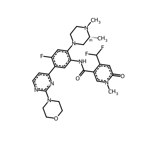 C[C@@H]1CN(c2cc(F)c(-c3ccnc(N4CCOCC4)n3)cc2NC(=O)c2cn(C)c(=O)cc2C(F)F)CCN1C